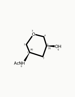 CC(=O)N[C@H]1COC[C@@H](O)C1